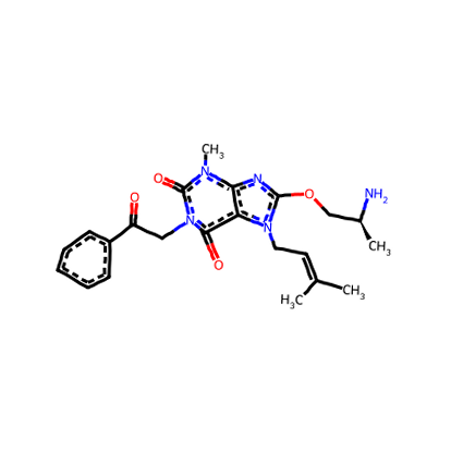 CC(C)=CCn1c(OC[C@H](C)N)nc2c1c(=O)n(CC(=O)c1ccccc1)c(=O)n2C